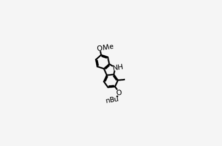 CCCCOc1ccc2c([nH]c3cc(OC)ccc32)c1C